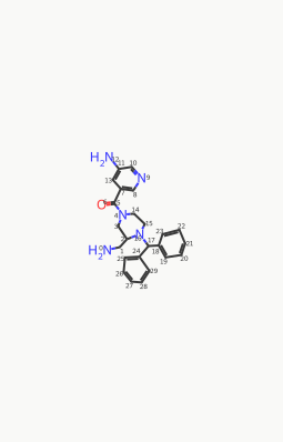 NCC1CN(C(=O)c2cncc(N)c2)CCN1C(c1ccccc1)c1ccccc1